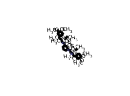 CCC(OSI)N1/C(=C\C=C2/CCCC(/C=C/C3=[N+](C(CC)OSI)c4cc(OC)c(OC)cc4C3(C)C)=C2Cl)C(C)(C)c2cc(OC)c(OC)cc21